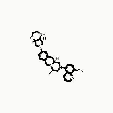 C[C@@H]1CN(c2ccc(C#N)c3ncccc23)C[C@@H]2Cc3cc(N4C[C@@H]5NCCO[C@H]5C4)ccc3CN21